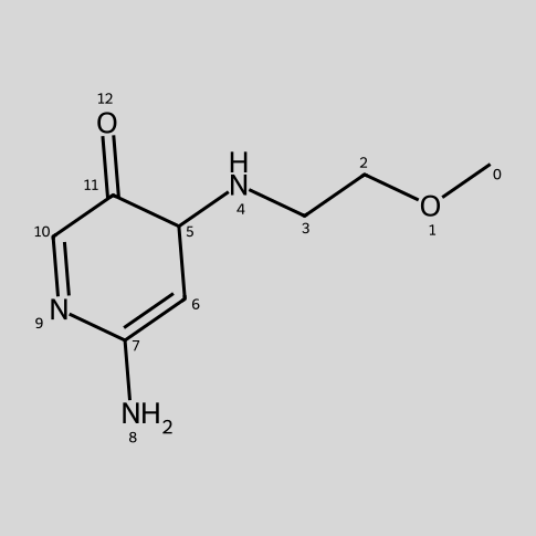 COCCNC1C=C(N)N=CC1=O